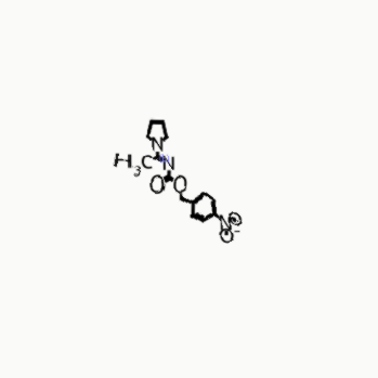 C/C(=N\C(=O)OCc1ccc([N+](=O)[O-])cc1)N1CCCC1